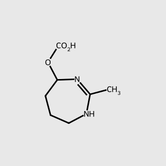 CC1=NC(OC(=O)O)CCCN1